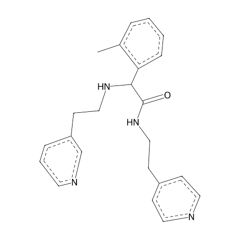 Cc1ccccc1C(NCCc1cccnc1)C(=O)NCCc1ccncc1